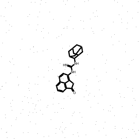 N=C(Nc1ccc2cccc3c2c1CC3=O)NC1C2CC3CC(C2)CC1C3